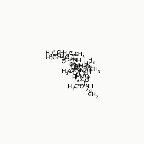 C=CCNC(=O)C(=O)C(CCC)NC(=O)[C@@H]1[C@@H]2[C@H](CN1C(=O)[C@@H](NC(=O)N[C@H](COC(=O)OCC(C)(C)C)C(C)C)C(C)(C)C)C2(C)C